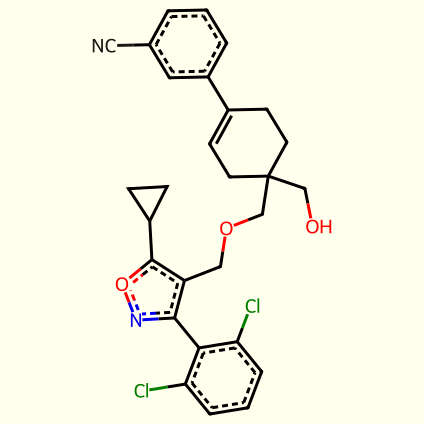 N#Cc1cccc(C2=CCC(CO)(COCc3c(-c4c(Cl)cccc4Cl)noc3C3CC3)CC2)c1